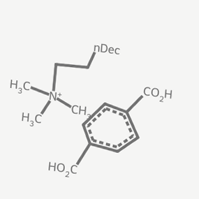 CCCCCCCCCCCC[N+](C)(C)C.O=C(O)c1ccc(C(=O)O)cc1